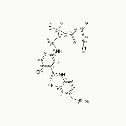 C=C(Nc1ccc(CC#N)cc1F)c1cc(NC(=C)C2C(c3cc(C)cc(Cl)c3)C2(C)Cl)ccc1Cl